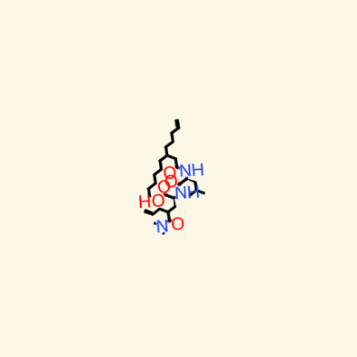 C=CCCCC(CCCCCC)CC(=O)N[C@@H](CC(C)C)C(=O)N[C@@H](CC(CC=C)C(=O)N(C)C)C(=O)O